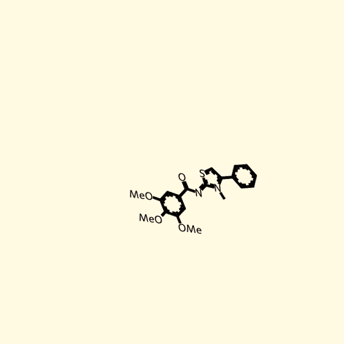 COc1cc(C(=O)/N=c2\scc(-c3ccccc3)n2C)cc(OC)c1OC